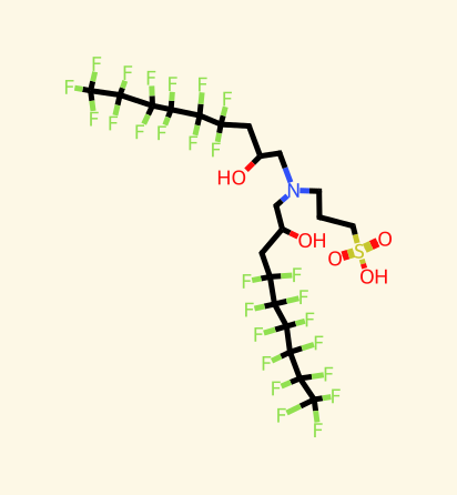 O=S(=O)(O)CCCN(CC(O)CC(F)(F)C(F)(F)C(F)(F)C(F)(F)C(F)(F)C(F)(F)F)CC(O)CC(F)(F)C(F)(F)C(F)(F)C(F)(F)C(F)(F)C(F)(F)F